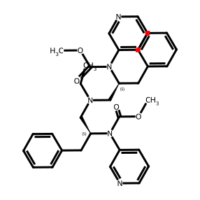 CCN(C[C@H](Cc1ccccc1)N(C(=O)OC)c1cccnc1)C[C@H](Cc1ccccc1)N(C(=O)OC)c1cccnc1